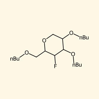 CCCCOCC1OCC(OCCCC)C(OCCCC)C1F